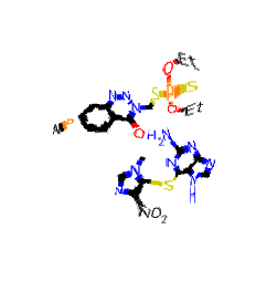 CCOP(=S)(OCC)SCn1nnc2ccccc2c1=O.Cn1cnc([N+](=O)[O-])c1Sc1nc(N)nc2nc[nH]c12.[Al]#[P]